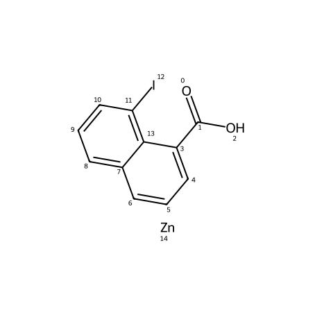 O=C(O)c1cccc2cccc(I)c12.[Zn]